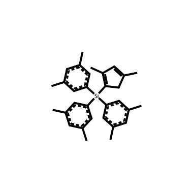 CC1=CC(C)=C([Si](c2cc(C)cc(C)c2)(c2cc(C)cc(C)c2)c2cc(C)cc(C)c2)C1